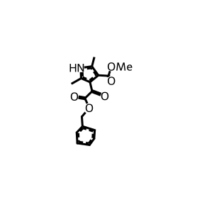 COC(=O)c1c(C)[nH]c(C)c1C(=O)C(=O)OCc1ccccc1